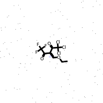 CCO/C=C(/C(=O)C(F)(F)F)C(=O)C(Cl)(Cl)Cl